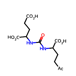 CC(=O)CCC(NC(=O)NC(CCC(=O)O)C(=O)O)C(=O)O